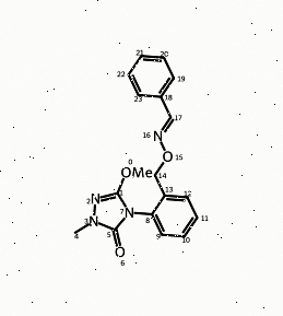 COc1nn(C)c(=O)n1-c1ccccc1CON=Cc1ccccc1